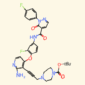 CC(C)(C)OC(=O)N1CCN(CC#Cc2c(Oc3ccc(NC(=O)c4ccnn(-c5ccc(F)cc5)c4=O)cc3F)ccnc2N)CC1